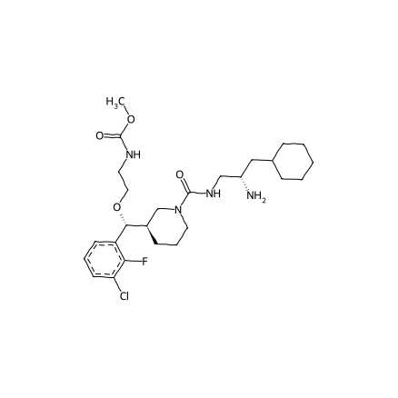 COC(=O)NCCO[C@@H](c1cccc(Cl)c1F)[C@@H]1CCCN(C(=O)NC[C@@H](N)CC2CCCCC2)C1